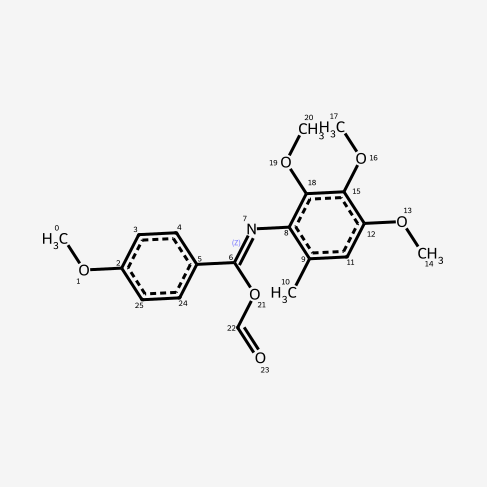 COc1ccc(/C(=N/c2c(C)cc(OC)c(OC)c2OC)OC=O)cc1